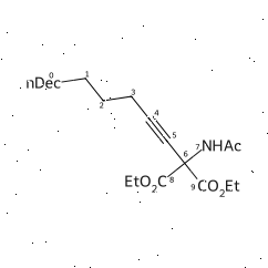 CCCCCCCCCCCCCC#CC(NC(C)=O)(C(=O)OCC)C(=O)OCC